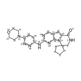 O=C1NCC2(CCCC2)n2c1cc1cnc(Nc3ccc(N4CCOCC4)nn3)nc12